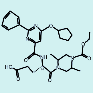 CCOC(=O)N1CC(C)N(C(=O)[C@H](CCC(=O)O)NC(=O)c2cc(OC3CCCC3)nc(-c3ccccc3)n2)CC1C